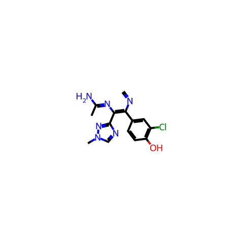 C=N/C(=C(\N=C(/C)N)c1ncn(C)n1)c1ccc(O)c(Cl)c1